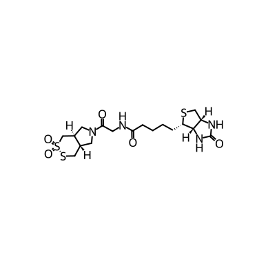 O=C(CCCC[C@@H]1SC[C@@H]2NC(=O)N[C@@H]21)NCC(=O)N1C[C@@H]2CS(=O)(=O)SC[C@H]2C1